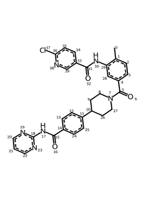 Cc1ccc(C(=O)N2CCC(c3ccc(C(=O)Nc4ncccn4)cc3)CC2)cc1NC(=O)c1ccc(Cl)nc1